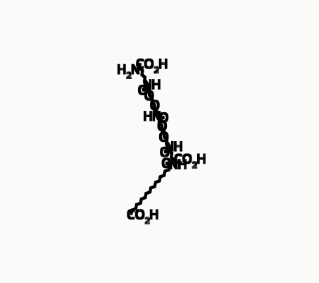 NC(CCCCNC(=O)COCCOCCNC(=O)COCCOCCNC(=O)CCC(NC(=O)CCCCCCCCCCCCCCCCC(=O)O)C(=O)O)C(=O)O